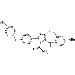 CC(C)(C)c1ccc(Oc2ccc(-c3nn4c(c3C(N)=O)Nc3ccc(C(C)(C)C)cc3CC4)cc2)cc1